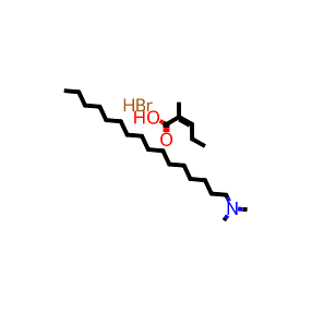 Br.CCC=C(C)C(=O)O.CCCCCCCCCCCCCCCCN(C)C